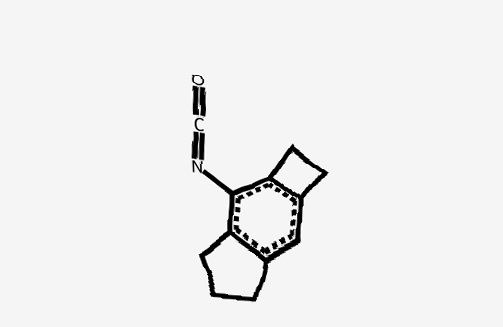 O=C=Nc1c2c(cc3c1CC3)CCC2